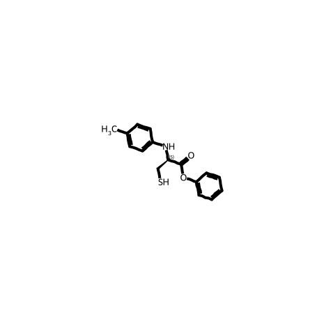 Cc1ccc(N[C@H](CS)C(=O)Oc2ccccc2)cc1